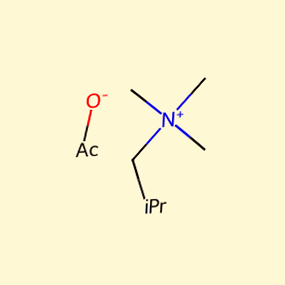 CC(=O)[O-].CC(C)C[N+](C)(C)C